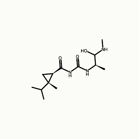 CNC(O)[C@@H](C)NC(=O)NC(=O)[C@@H]1C[C@@]1(C)C(C)C